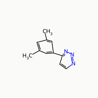 Cc1cc(C)cc(-c2ccnnn2)c1